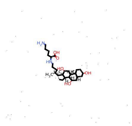 C[C@H](CCCNC(CCCCN)C(=O)O)[C@H]1CC[C@H]2[C@@H]3[C@H](O)C[C@@H]4C[C@H](O)CC[C@]4(C)[C@H]3C[C@H](O)[C@]12C